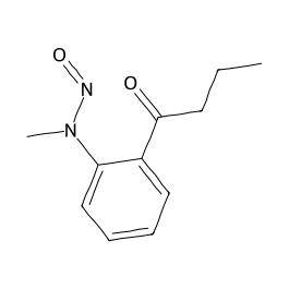 CCCC(=O)c1ccccc1N(C)N=O